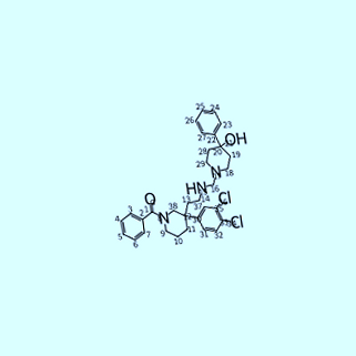 O=C(c1ccccc1)N1CCCC(CCNCN2CCC(O)(c3ccccc3)CC2)(c2ccc(Cl)c(Cl)c2)C1